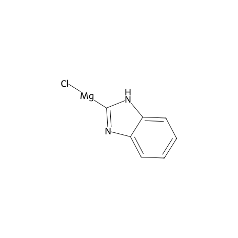 [Cl][Mg][c]1nc2ccccc2[nH]1